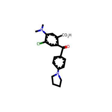 CN(C)c1cc(C(=O)O)c(C(=O)c2ccc(N3CCCC3)cc2)cc1Cl